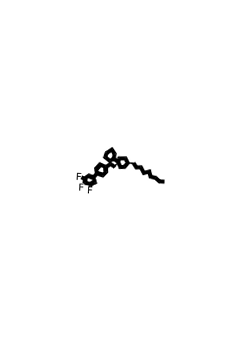 CCCCCCCCC[C@H]1CC[C@](CCc2ccc(-c3cc(F)c(F)c(F)c3)cc2)(C2CCCCC2)CC1